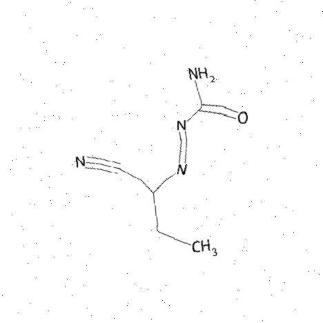 CCC(C#N)N=NC(N)=O